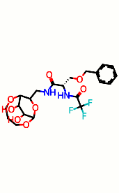 O=C(NCC1OC2OCCCOC1C(O)C2O)[C@H](COCc1ccccc1)NC(=O)C(F)(F)F